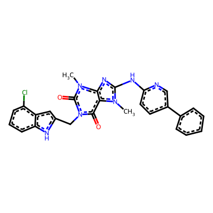 Cn1c(Nc2ccc(-c3ccccc3)cn2)nc2c1c(=O)n(Cc1cc3c(Cl)cccc3[nH]1)c(=O)n2C